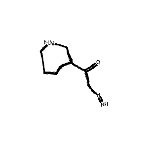 N=NCC(=O)C1CCCNC1